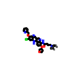 CN(C)C/C=C/C(=O)Nc1c(O[C@H]2CCOC2)ccc2c(Nc3ccc(OCc4ccccn4)c(Cl)c3)c(C#N)cnc12